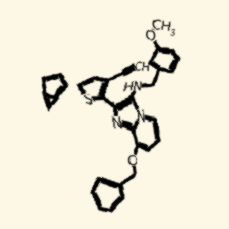 C#Cc1ccsc1-c1nc2c(OCc3ccccc3)cccn2c1NCc1cccc(OC)c1.c1cc2cc-2c1